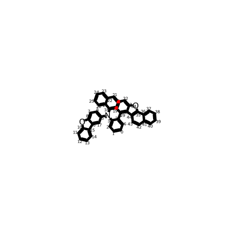 c1ccc(N(c2ccc3oc4ccccc4c3c2)c2cccc3ccccc23)c(-c2cccc3oc4c5ccccc5ccc4c23)c1